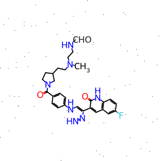 CN(CCNC=O)CCC1CCN(C(=O)c2ccc(N/C=C(\N=N)c3cc4cc(F)ccc4[nH]c3=O)cc2)C1